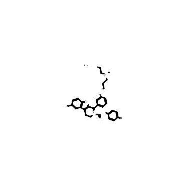 COCCN(C)CCCOc1cccc(C2c3[nH]c4ccc(Cl)cc4c3CCN2C(=O)Oc2ccc(F)cc2)c1